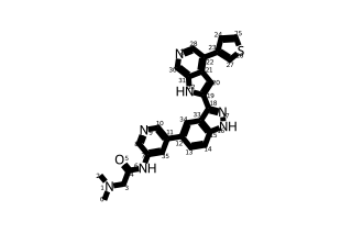 CN(C)CC(=O)Nc1cncc(-c2ccc3[nH]nc(-c4cc5c(-c6ccsc6)cncc5[nH]4)c3c2)c1